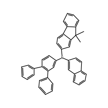 CC1(C)c2ccccc2-c2ccc(N(c3ccc(-c4ccccc4)c(-c4ccccc4)c3)c3ccc4ccccc4c3)cc21